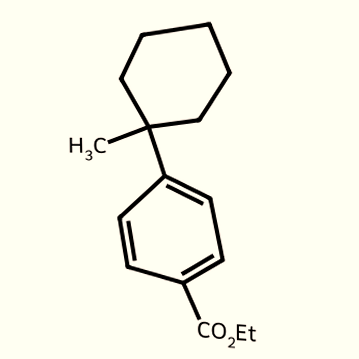 CCOC(=O)c1ccc(C2(C)CCCCC2)cc1